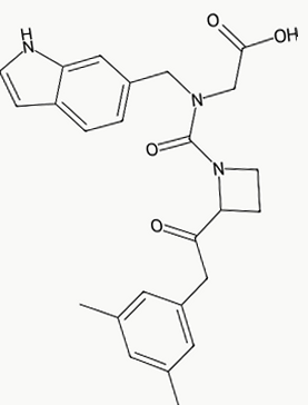 Cc1cc(C)cc(CC(=O)C2CCN2C(=O)N(CC(=O)O)Cc2ccc3cc[nH]c3c2)c1